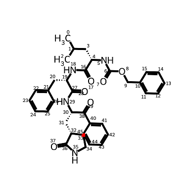 CC(C)C[C@H](NC(=O)OCc1ccccc1)C(=O)N[C@@H](Cc1ccccc1)C(=O)N[C@@H](C[C@@H]1CCNC1=O)C(=O)c1ccccc1